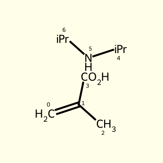 C=C(C)C(=O)O.CC(C)NC(C)C